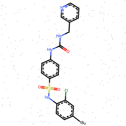 CC(C)(C)c1ccc(NS(=O)(=O)c2ccc(NC(=O)NCc3cccnc3)cc2)c(Cl)c1